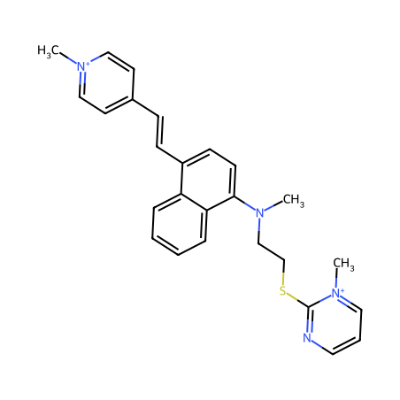 CN(CCSc1nccc[n+]1C)c1ccc(/C=C/c2cc[n+](C)cc2)c2ccccc12